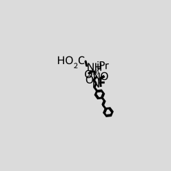 CC(C)C[C@@H](C(=O)NCCC(=O)O)N1C(=O)N(Cc2ccc(C=Cc3ccccc3)cc2)C(C)(C)C1=O